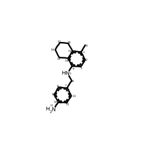 Cc1ccc(NCc2ccc(N)cc2)c2c1CCCC2